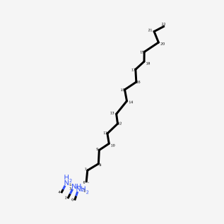 CN.CN.CN.[CH2]CCCCCCCCCCCCCCCC